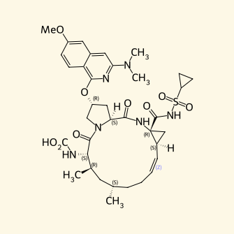 COc1ccc2c(O[C@@H]3C[C@H]4C(=O)N[C@]5(C(=O)NS(=O)(=O)C6CC6)C[C@H]5/C=C\CC[C@H](C)C[C@@H](C)[C@H](NC(=O)O)C(=O)N4C3)nc(N(C)C)cc2c1